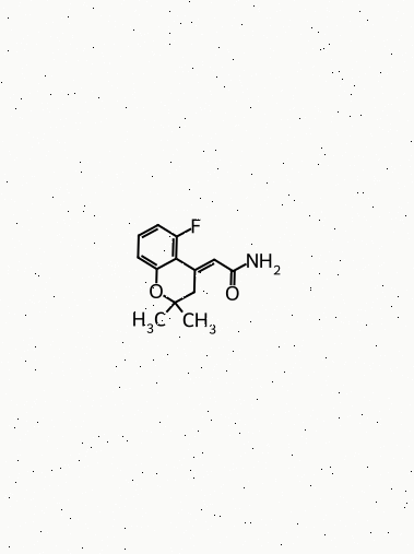 CC1(C)C/C(=C\C(N)=O)c2c(F)cccc2O1